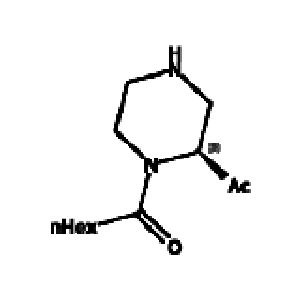 CCCCCCC(=O)N1CCNC[C@H]1C(C)=O